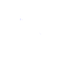 O=S(=O)(Nc1cccc2c1CCCN2)c1ccccc1